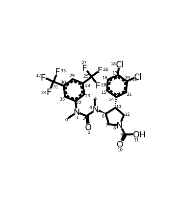 CN(C(=O)N(C)[C@@H]1CN(C(=O)O)C[C@H]1c1ccc(Cl)c(Cl)c1)c1cc(C(F)(F)F)cc(C(F)(F)F)c1